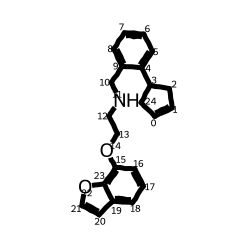 C1=CCC(c2ccccc2CNCCOc2cccc3ccoc23)C1